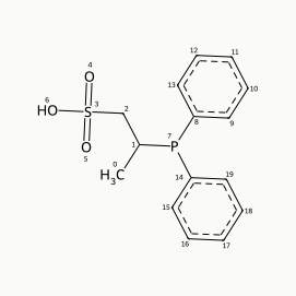 CC(CS(=O)(=O)O)P(c1ccccc1)c1ccccc1